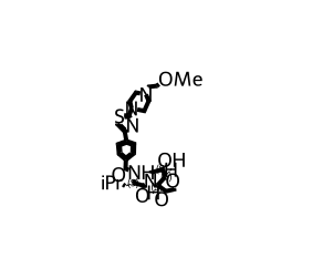 COCCN1CCN(c2nc(-c3ccc(C(=O)N[C@@H](CC(C)C)C(=O)N4C[C@H](O)[C@H]5OCC(=O)[C@H]54)cc3)cs2)CC1